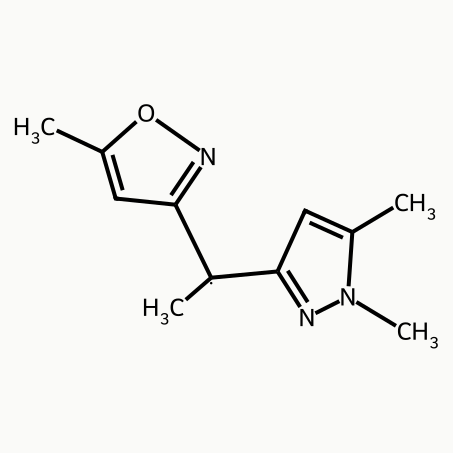 C[C](c1cc(C)on1)c1cc(C)n(C)n1